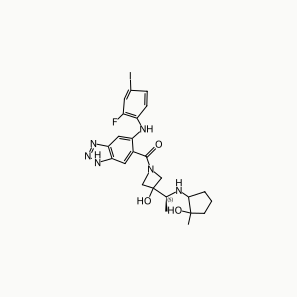 C[C@H](NC1CCCC1(C)O)C1(O)CN(C(=O)c2cc3[nH]nnc3cc2Nc2ccc(I)cc2F)C1